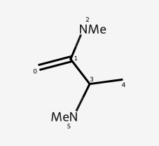 C=C(NC)C(C)NC